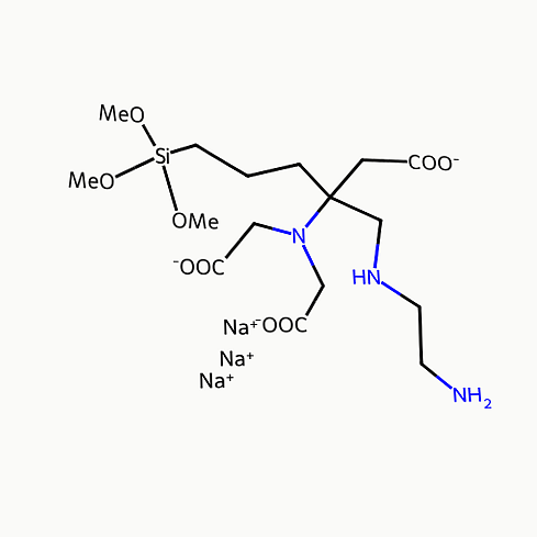 CO[Si](CCCC(CNCCN)(CC(=O)[O-])N(CC(=O)[O-])CC(=O)[O-])(OC)OC.[Na+].[Na+].[Na+]